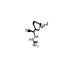 N#CC(NNC(N)=S)C1CCCNC1